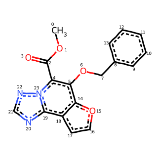 COC(=O)c1c(OCc2ccccc2)c2occc2c2ncnn12